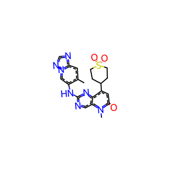 Cc1cc2ncnn2cc1Nc1ncc2c(n1)c(C1CCS(=O)(=O)CC1)cc(=O)n2C